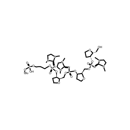 CN1CCN(C)C1=NP(=O)(OC[C@H]1OCC[C@H]1OP(=O)(N=C1N(C)CCN1C)OC[C@H]1OCC[C@H]1OP(=O)(N=C1N(C)CCN1C)OCCCOP(=O)(O)OC(C)(C)C)O[C@@H]1CCO[C@@H]1CO